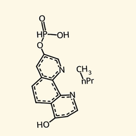 CCCC.O=[PH](O)Oc1cnc2c(ccc3c(O)ccnc32)c1